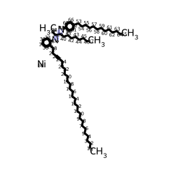 CCCCCCCCCCCCCCCCCCCCCCCCCC#CCCc1ccccc1/N=C(CC)/C(CCCCCCCC)=N/c1ccc(CCCCCCCCCCCCC)cc1.[Ni]